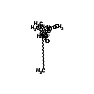 CCCCCCCCCCCCCCCCCCCC(NS(=O)(=O)c1cc2c(s1)S(=O)(=O)N(CCCOC)C[C@@H]2N(CC)C(=O)OC)[S+]([O-])c1ccccc1